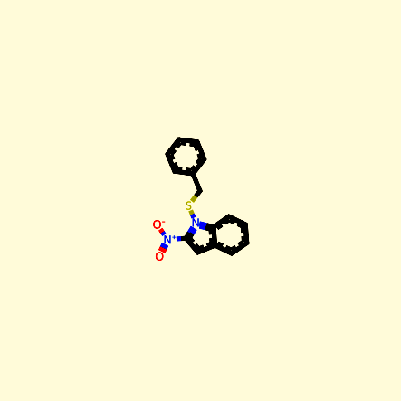 O=[N+]([O-])c1cc2ccccc2n1SCc1ccccc1